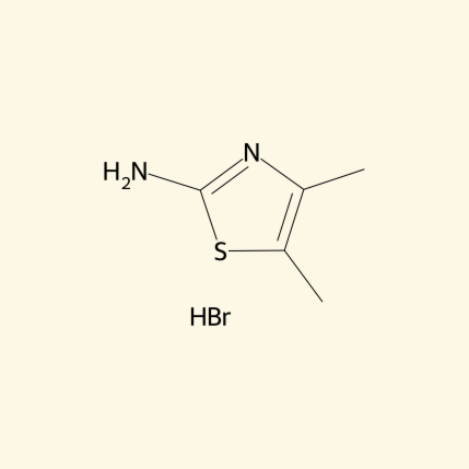 Br.Cc1nc(N)sc1C